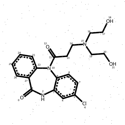 O=C1Nc2cc(Cl)ccc2N(C(=O)CCN(CCO)CCO)c2ccccc21